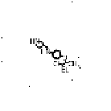 CCC(Cl)[C@H](C)Oc1ccc(NCC2CCNC2)cc1